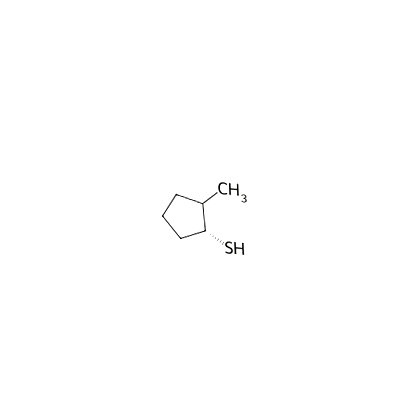 CC1CCC[C@H]1S